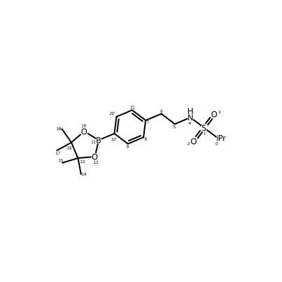 CC(C)S(=O)(=O)NCCc1ccc(B2OC(C)(C)C(C)(C)O2)cc1